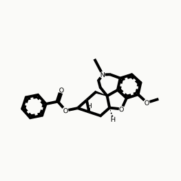 COc1ccc2c3c1O[C@H]1C[C@@H]4C(C[C@@]31CCN(C)C2)C4OC(=O)c1ccccc1